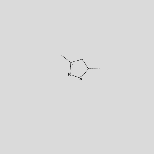 CC1=NSC(C)C1